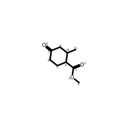 COC(=O)C1CCC(=O)CC1C